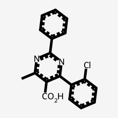 Cc1nc(-c2ccccc2)nc(-c2ccccc2Cl)c1C(=O)O